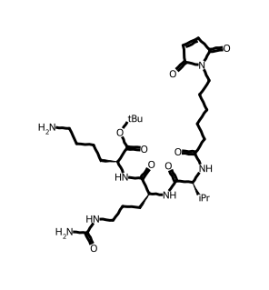 CC(C)[C@H](NC(=O)CCCCCN1C(=O)C=CC1=O)C(=O)N[C@@H](CCCNC(N)=O)C(=O)N[C@@H](CCCCN)C(=O)OC(C)(C)C